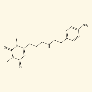 Cn1c(CCCNCCc2ccc(N)cc2)cc(=O)n(C)c1=O